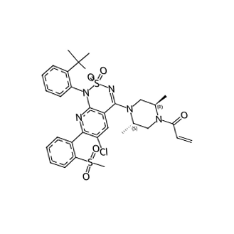 C=CC(=O)N1C[C@H](C)N(C2=NS(=O)(=O)N(c3ccccc3C(C)(C)C)c3nc(-c4ccccc4S(C)(=O)=O)c(Cl)cc32)C[C@H]1C